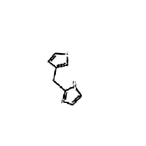 c1c[nH]c(Cc2ccsc2)n1